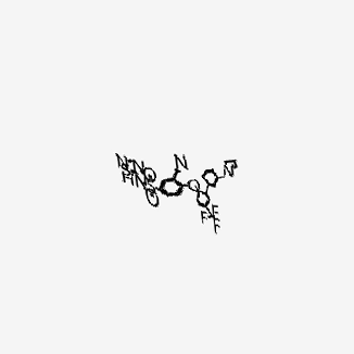 N#Cc1cc(S(=O)(=O)Nc2ncns2)ccc1Oc1ccc(C(F)(F)F)cc1-c1cccc(CN2CCC2)c1